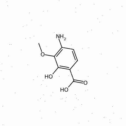 COc1c(N)ccc(C(=O)O)c1O